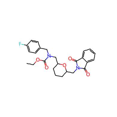 CCOC(=O)N(Cc1ccc(F)cc1)CC1CCCC(CN2C(=O)c3ccccc3C2=O)O1